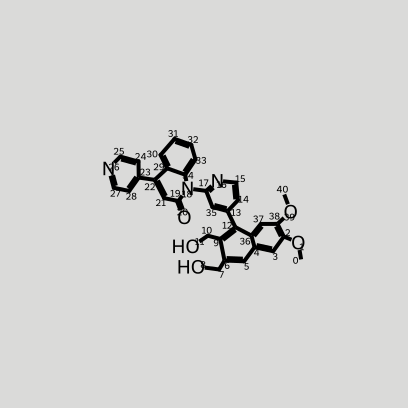 COc1cc2cc(CO)c(CO)c(-c3ccnc(-n4c(=O)cc(-c5ccncc5)c5ccccc54)c3)c2cc1OC